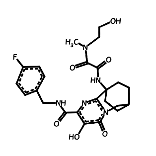 CN(CCO)C(=O)C(=O)NC12CCC(CC1)Cn1c2nc(C(=O)NCc2ccc(F)cc2)c(O)c1=O